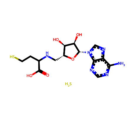 Nc1ncnc2c1ncn2[C@@H]1O[C@H](CNC(CCS)C(=O)O)[C@@H](O)[C@H]1O.S